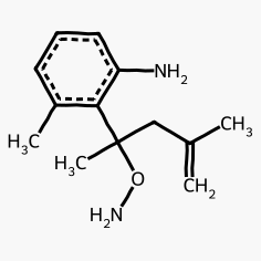 C=C(C)CC(C)(ON)c1c(C)cccc1N